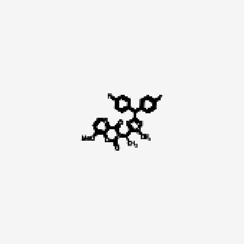 COc1ccnc2c(=O)n([C@@H](C)c3nc(C(c4ccc(F)cc4)c4ccc(F)cc4)nn3C)c(=O)oc12